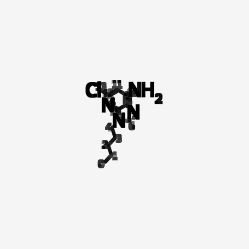 CCCCCn1cnc2c(N)cc(Cl)nc21